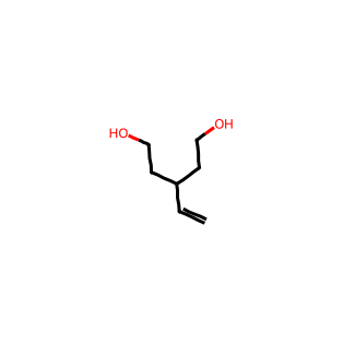 C=CC(CCO)CCO